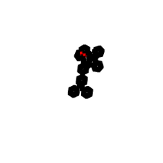 c1ccc(N(c2ccccc2)c2ccc(-c3ccc4c(c3)c3c5ccccc5c5c6ccccc6n(-c6ccccc6)c5c3n4-c3ccccc3)cc2)cc1